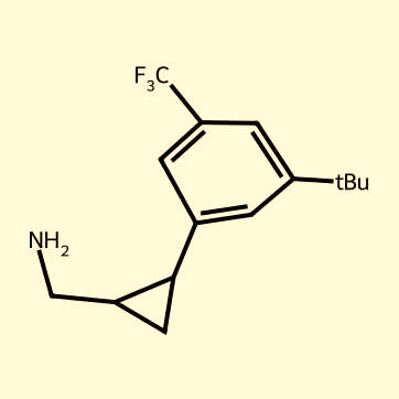 CC(C)(C)c1cc(C2CC2CN)cc(C(F)(F)F)c1